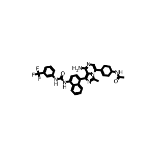 CC(=O)NC1CC=C(c2cnc(N)c3c(-c4ccc(NC(=O)Nc5cccc(C(F)(F)F)c5)c5ccccc45)nc(C)n23)CC1